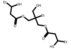 CCC(S)CC(=O)OCC(CC)(CO)COC(=O)CC(S)CC